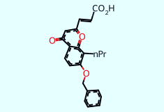 CCCc1c(OCc2ccccc2)ccc2c(=O)cc(C=CC(=O)O)oc12